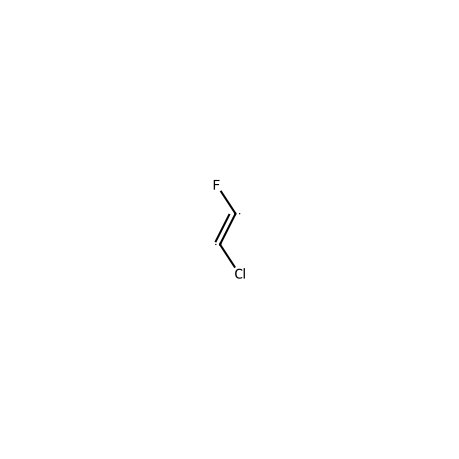 F/[C]=[C]/Cl